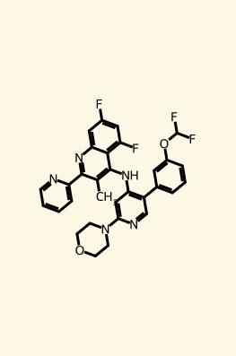 Cc1c(-c2ccccn2)nc2cc(F)cc(F)c2c1Nc1cc(N2CCOCC2)ncc1-c1cccc(OC(F)F)c1